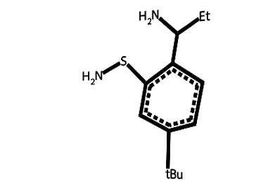 CCC(N)c1ccc(C(C)(C)C)cc1SN